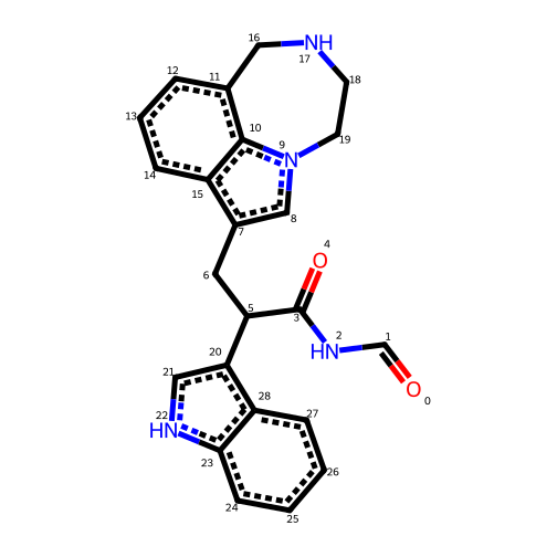 O=CNC(=O)C(Cc1cn2c3c(cccc13)CNCC2)c1c[nH]c2ccccc12